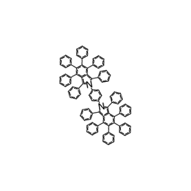 c1ccc(-c2c(-c3ccccc3)c(-c3ccccc3)c3c(-c4ccccc4)n(-c4ccc(-n5c(-c6ccccc6)c6c(-c7ccccc7)c(-c7ccccc7)c(-c7ccccc7)c(-c7ccccc7)c6c5-c5ccccc5)cc4)c(-c4ccccc4)c3c2-c2ccccc2)cc1